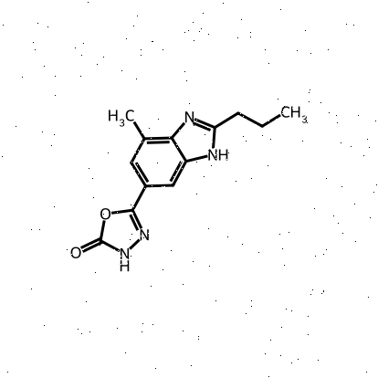 CCCc1nc2c(C)cc(-c3n[nH]c(=O)o3)cc2[nH]1